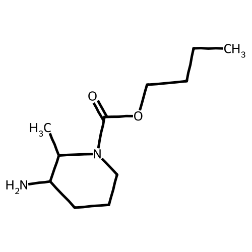 CCCCOC(=O)N1CCCC(N)C1C